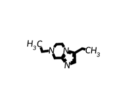 CCc1cnc2n1CCN(CC)C2